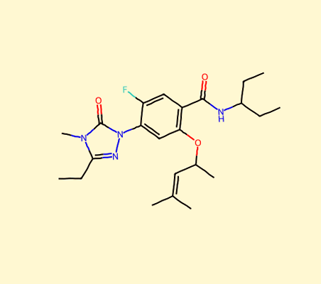 CCc1nn(-c2cc(OC(C)C=C(C)C)c(C(=O)NC(CC)CC)cc2F)c(=O)n1C